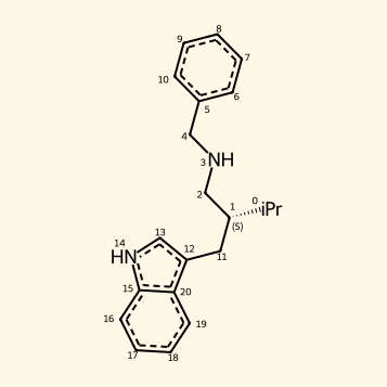 CC(C)[C@@H](CNCc1ccccc1)Cc1c[nH]c2ccccc12